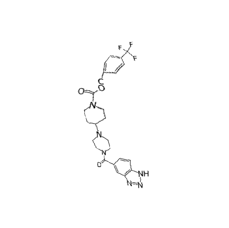 O=C(OCc1ccc(C(F)(F)F)cc1)N1CCC(N2CCN(C(=O)c3ccc4[nH]nnc4c3)CC2)CC1